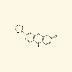 O=C1C=CC2=C(C1)Sc1cc(N3CCCC3)ccc1N2